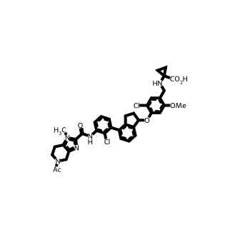 COc1cc(OC2CCc3c(-c4cccc(NC(=O)c5nc6c(n5C)CCN(C(C)=O)C6)c4Cl)cccc32)c(Cl)cc1CNC1(C(=O)O)CC1